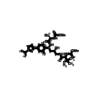 COC(=O)NC(C(=O)NC[C@@H](O)CN(NC(=O)[C@@H](NC(=O)OC)C(C)(C)C)c1c(F)cc(-c2ccn(C(F)F)n2)cc1F)C(C)(C)C(F)(F)F